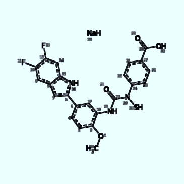 COc1ccc(-c2cc3cc(F)c(F)cc3[nH]2)cc1NC(=O)N(S)c1ccc(C(=O)O)cc1.[NaH]